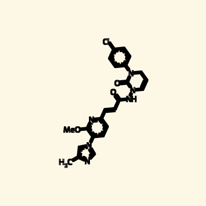 COc1nc(C=CC(=O)NN2C=CCN(c3ccc(Cl)cc3)C2=O)ccc1-n1cnc(C)c1